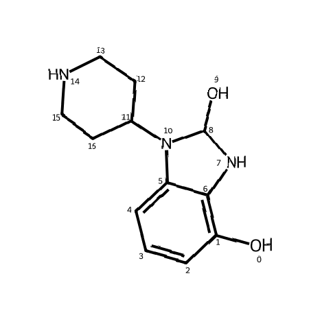 Oc1cccc2c1NC(O)N2C1CCNCC1